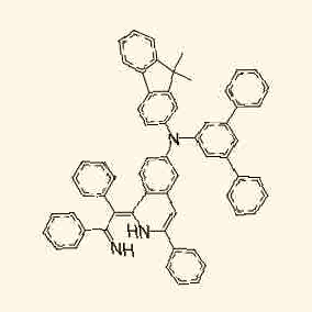 CC1(C)c2ccccc2-c2ccc(N(c3cc(-c4ccccc4)cc(-c4ccccc4)c3)c3ccc4c(c3)C=C(c3ccccc3)N/C4=C(\C(=N)c3ccccc3)c3ccccc3)cc21